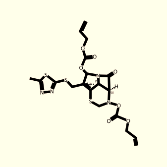 C=CCOC(=O)OC1C(CSc2nnc(C)s2)=C2SCN(OC(=O)OCC=C)[C@@H]3C(=O)N1[C@H]23